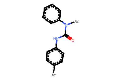 CC(=O)c1ccc(NC(=O)N(C(C)=O)c2ccccc2)cc1